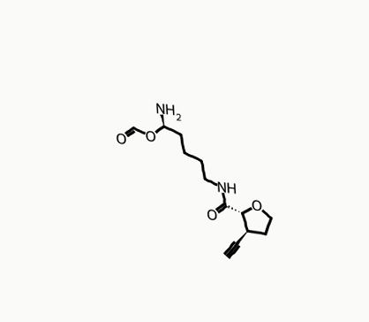 C#C[C@@H]1CCO[C@H]1C(=O)NCCCC[C@H](N)OC=O